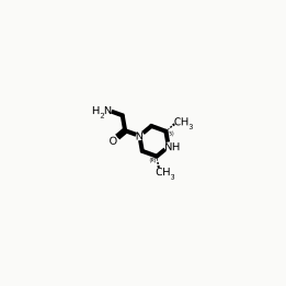 C[C@@H]1CN(C(=O)CN)C[C@H](C)N1